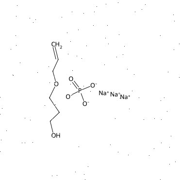 C=CCOCCCO.O=P([O-])([O-])[O-].[Na+].[Na+].[Na+]